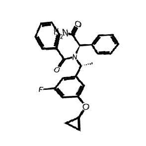 C[C@H](c1cc(F)cc(OC2CC2)c1)N(C(=O)c1ccccc1)[C@@H](C(N)=O)c1ccccc1